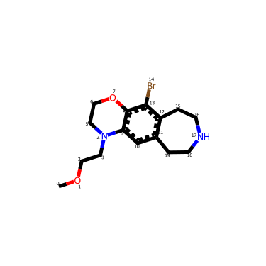 COCCN1CCOc2c1cc1c(c2Br)CCNCC1